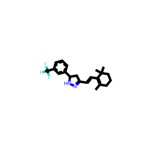 CC1=C(/C=C/C2=NNC(c3cccc(C(F)(F)F)c3)C2)C(C)(C)CCC1